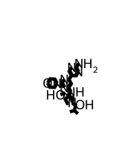 CC(C)C(O)N1CC[C@](CO)(Nc2cc(-c3cnc(N)nc3)nc(N3CCOCC3)n2)C1